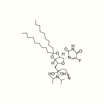 CCCCCCCCCC1(CCCCCCCCC)O[C@@H]2[C@@H](O1)[C@H](n1cc(F)c(=O)[nH]c1=O)O[C@H]2CP(O)(O)(CCC#N)N(C(C)C)C(C)C